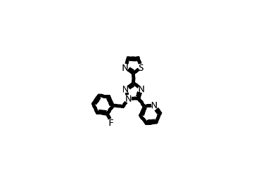 Fc1ccccc1Cn1nc(-c2nccs2)nc1-c1ccccn1